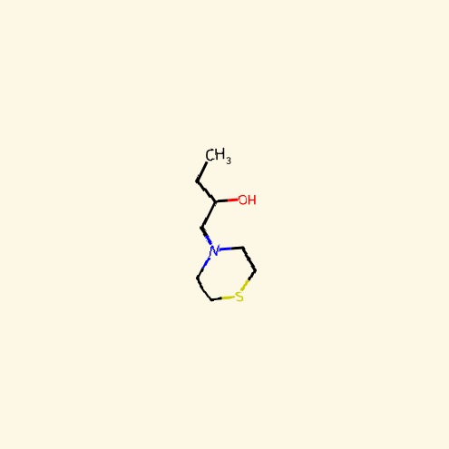 CCC(O)CN1CCSCC1